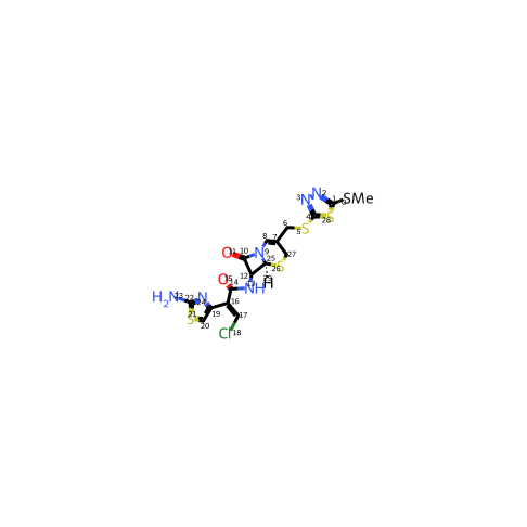 CSc1nnc(SCC2=CN3C(=O)C(NC(=O)C(=CCl)c4csc(N)n4)[C@@H]3SC2)s1